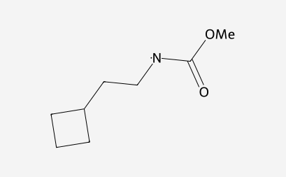 COC(=O)[N]CCC1CCC1